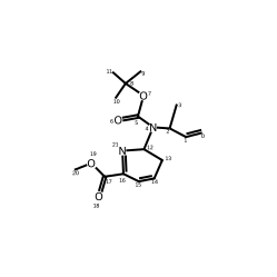 C=CC(C)N(C(=O)OC(C)(C)C)C1CC=CC(C(=O)OC)=N1